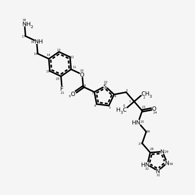 CC(C)(Cc1ccc(C(=O)Oc2ccc(CNCN)cc2F)s1)C(=O)NCCc1nnn[nH]1